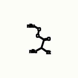 CCCCOOC(=O)C(CC)CCCC